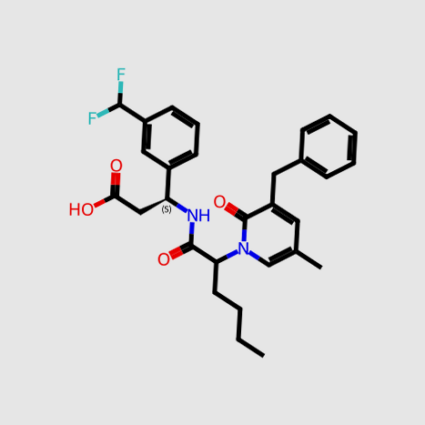 CCCCC(C(=O)N[C@@H](CC(=O)O)c1cccc(C(F)F)c1)n1cc(C)cc(Cc2ccccc2)c1=O